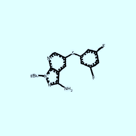 CC(C)(C)n1nc(N)c2cc(Sc3cc(F)cc(F)c3)cnc21